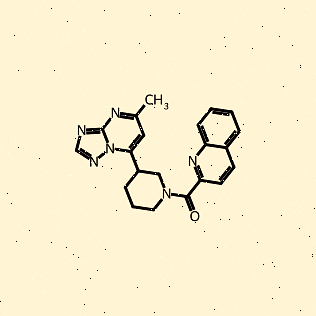 Cc1cc(C2CCCN(C(=O)c3ccc4ccccc4n3)C2)n2ncnc2n1